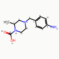 CC1CN(Cc2ccc(N)cc2)CCN1C(=O)O